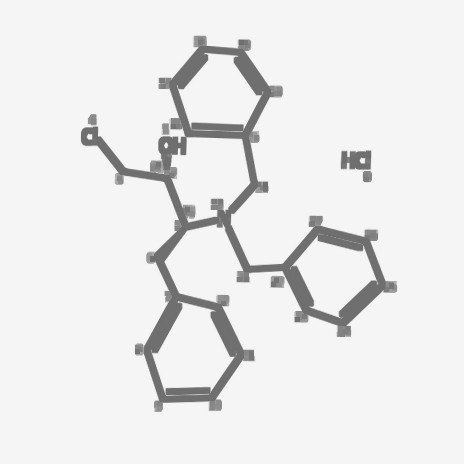 Cl.O[C@@H](CCl)[C@H](Cc1ccccc1)N(Cc1ccccc1)Cc1ccccc1